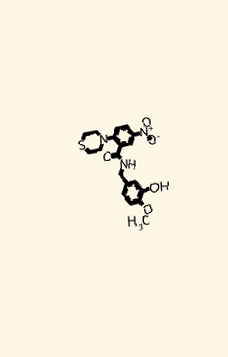 COc1ccc(CNC(=O)c2cc([N+](=O)[O-])ccc2N2CCSCC2)cc1O